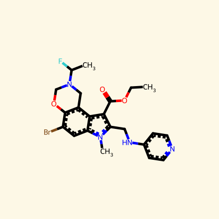 CCOC(=O)c1c(CNc2ccncc2)n(C)c2cc(Br)c3c(c12)CN(C(C)F)CO3